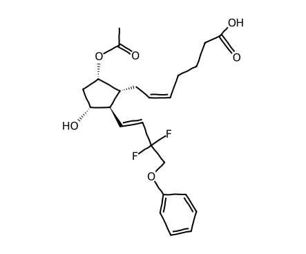 CC(=O)O[C@H]1C[C@@H](O)[C@H](/C=C/C(F)(F)COc2ccccc2)[C@H]1C/C=C\CCCC(=O)O